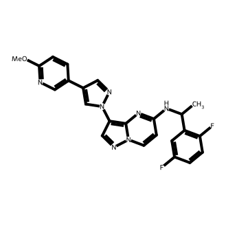 COc1ccc(-c2cnn(-c3cnn4ccc(NC(C)c5cc(F)ccc5F)nc34)c2)cn1